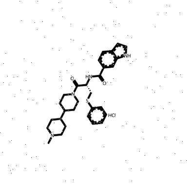 CN1CCC(C2CCN(C(=O)[C@@H](CSc3ccccc3)NC(=O)c3ccc4cc[nH]c4c3)CC2)CC1.Cl